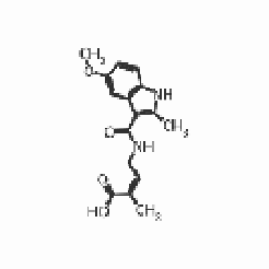 COc1ccc2[nH]c(C)c(C(=O)NCC=C(C)C(=O)O)c2c1